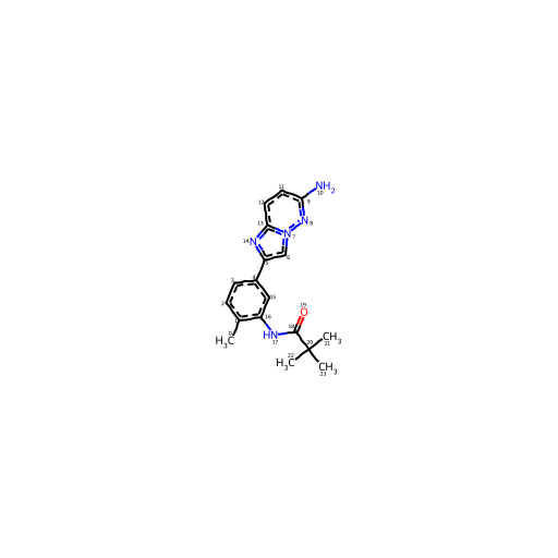 Cc1ccc(-c2cn3nc(N)ccc3n2)cc1NC(=O)C(C)(C)C